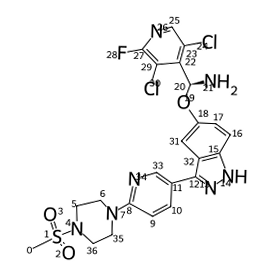 CS(=O)(=O)N1CCN(c2ccc(-c3n[nH]c4ccc(O[C@H](N)c5c(Cl)cnc(F)c5Cl)cc34)cn2)CC1